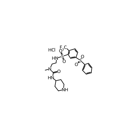 CN(CCNS(=O)(=O)c1cc(S(=O)(=O)c2ccccc2)ccc1C(F)(F)F)C(=O)NC1CCNCC1.Cl